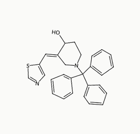 OC1CCN(C(c2ccccc2)(c2ccccc2)c2ccccc2)C/C1=C\c1cncs1